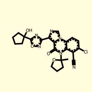 CC1(n2c(=O)c3c(-c4noc(C5(O)CCCC5)n4)ncn3c3ccc(Cl)c(C#N)c32)CCCO1